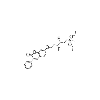 CCO[Si](C)(CCC(F)C(F)CCOc1ccc2cc(-c3ccccc3)c(=O)oc2c1)OCC